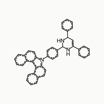 C1=C(c2ccccc2)NC(c2ccc(-n3c4ccc5ccccc5c4c4c5ccccc5ccc43)cc2)NC1c1ccccc1